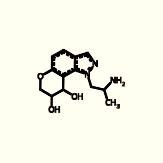 CC(N)Cn1ncc2ccc3c(c21)C(O)C(O)CO3